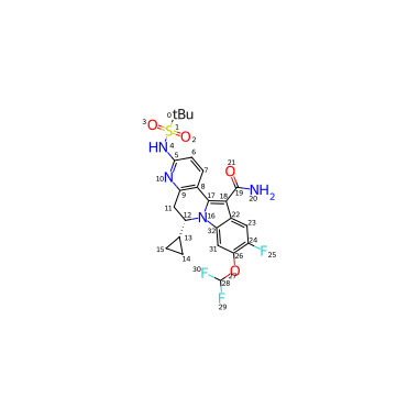 CC(C)(C)S(=O)(=O)Nc1ccc2c(n1)C[C@@H](C1CC1)n1c-2c(C(N)=O)c2cc(F)c(OC(F)F)cc21